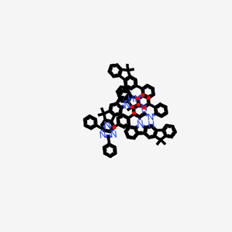 CC1(C)c2ccccc2-c2ccc(-c3ccccc3Nc3nc(Nc4ccccc4-c4ccc5c(c4)C(C)(C)c4ccccc4-5)c(-n4c5ccccc5c5cc6c(cc54)-c4ccccc4C6(C)C)c(-c4ccc(-c5nc(-c6ccccc6)nc(-c6ccccc6)n5)cc4)c3-n3c4ccccc4c4cc5c(cc43)-c3ccccc3C5(C)C)cc21